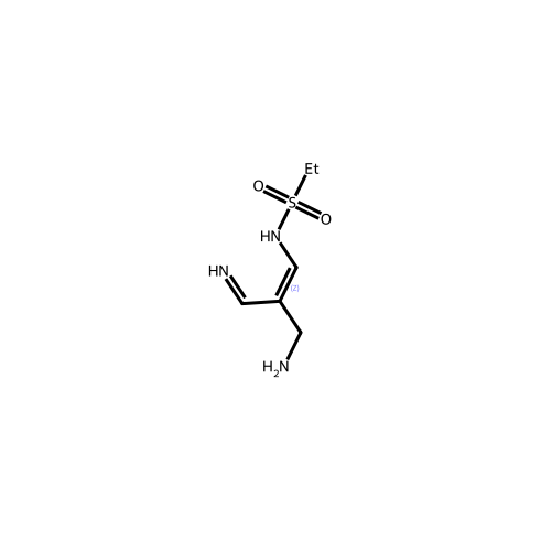 CCS(=O)(=O)N/C=C(\C=N)CN